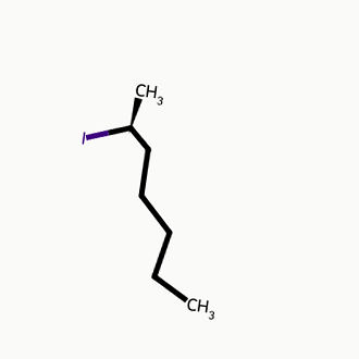 CCCCC[C@H](C)I